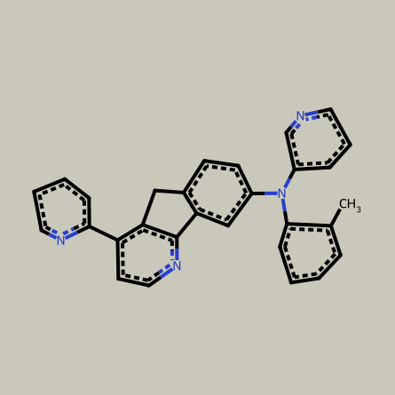 Cc1ccccc1N(c1cccnc1)c1ccc2c(c1)-c1nccc(-c3ccccn3)c1C2